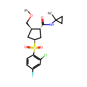 CC(C)OC[C@@H]1C[C@H](S(=O)(=O)c2ccc(F)cc2Cl)C[C@H]1C(=O)NC1(C#N)CC1